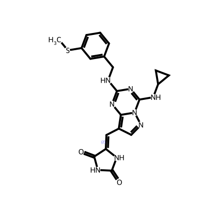 CSc1cccc(CNc2nc(NC3CC3)n3ncc(/C=C4\NC(=O)NC4=O)c3n2)c1